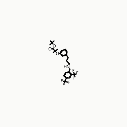 CC(C)(C)OC(=O)C(C)(C)Oc1cccc(CCCNCc2ccc(C(F)(F)F)cc2C(F)(F)F)c1